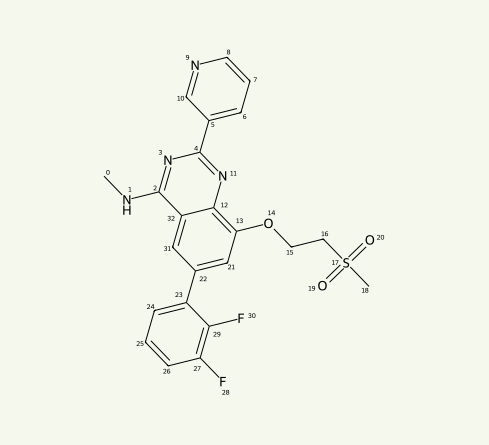 CNc1nc(-c2cccnc2)nc2c(OCCS(C)(=O)=O)cc(-c3cccc(F)c3F)cc12